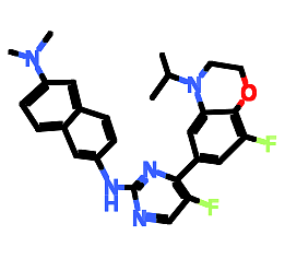 CC(C)N1CCOc2c(F)cc(-c3nc(Nc4ccc5cc(N(C)C)ccc5c4)ncc3F)cc21